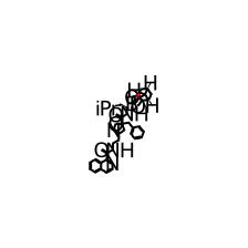 CC(C)C[C@H](NC(=O)C1(Cc2ccccc2)CC(CCNC(=O)c2nccc3ccccc23)=NO1)B1O[C@@H]2C[C@@H]3C[C@@H](C3(C)C)[C@]2(C)O1